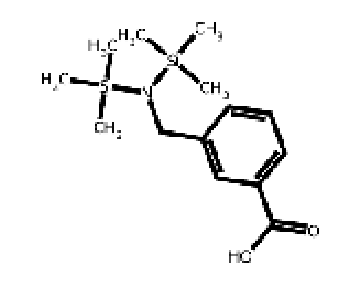 C[Si](C)(C)N(Cc1cccc(C(=O)O)c1)[Si](C)(C)C